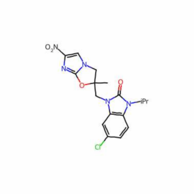 CC(C)n1c(=O)n(CC2(C)Cn3cc([N+](=O)[O-])nc3O2)c2cc(Cl)ccc21